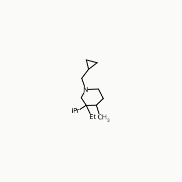 CCC1(C(C)C)CN(CC2CC2)CCC1C